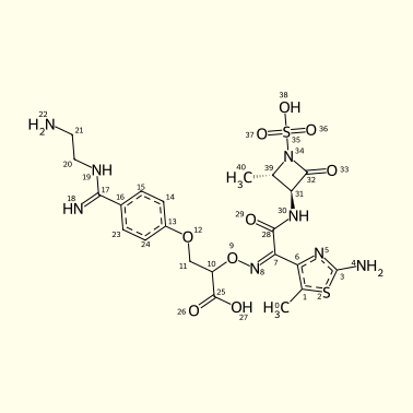 Cc1sc(N)nc1/C(=N/OC(COc1ccc(C(=N)NCCN)cc1)C(=O)O)C(=O)N[C@@H]1C(=O)N(S(=O)(=O)O)[C@H]1C